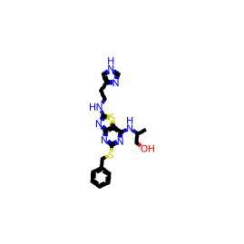 CC(CO)Nc1nc(SCc2ccccc2)nc2nc(NCCc3c[nH]cn3)sc12